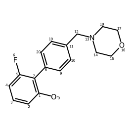 [O]c1cccc(F)c1-c1ccc(CN2CCOCC2)cc1